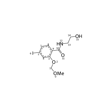 COCOc1cc(I)ccc1C(=O)NCCO